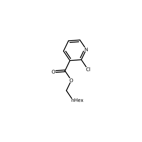 CCCCCCCOC(=O)c1cccnc1Cl